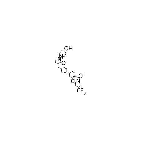 O=C(c1ccc(-c2ccc(CC3CCN(N4CCC(O)CC4)C3=O)cc2)cc1Cl)N1CCC(C(F)(F)F)CC1